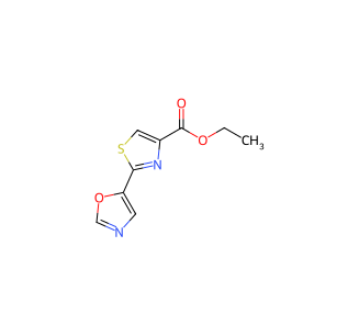 CCOC(=O)c1csc(-c2cnco2)n1